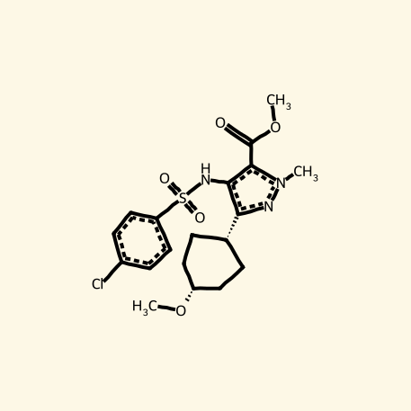 COC(=O)c1c(NS(=O)(=O)c2ccc(Cl)cc2)c([C@H]2CC[C@@H](OC)CC2)nn1C